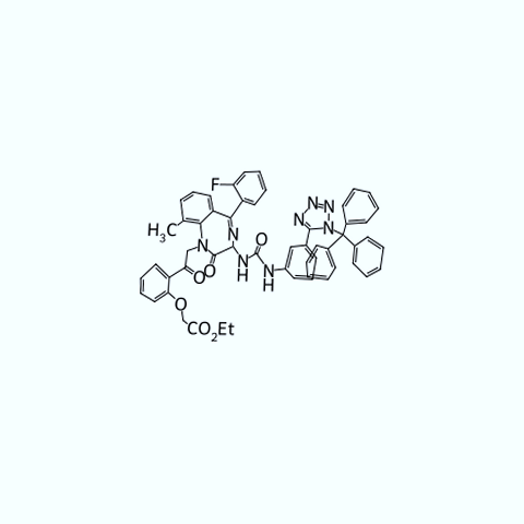 CCOC(=O)COc1ccccc1C(=O)CN1C(=O)C(NC(=O)Nc2cccc(-c3nnnn3C(c3ccccc3)(c3ccccc3)c3ccccc3)c2)N=C(c2ccccc2F)c2cccc(C)c21